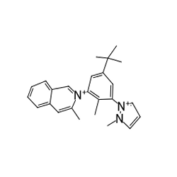 Cc1c(-[n+]2cc3ccccc3cc2C)cc(C(C)(C)C)cc1-[n+]1cccn1C